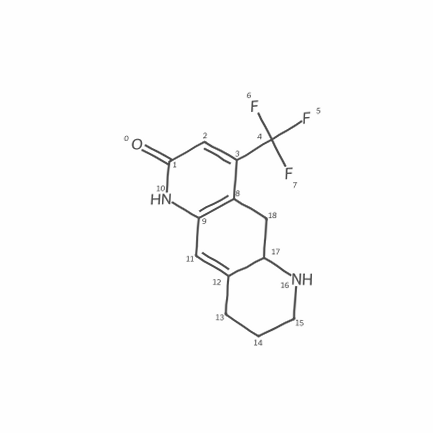 O=c1cc(C(F)(F)F)c2c([nH]1)C=C1CCCNC1C2